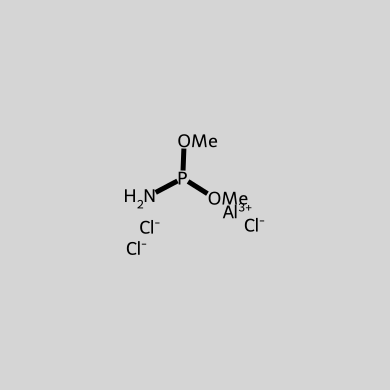 COP(N)OC.[Al+3].[Cl-].[Cl-].[Cl-]